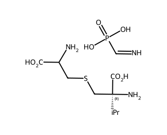 CC(C)[C@](N)(CSCC(N)C(=O)O)C(=O)O.N=CP(=O)(O)O